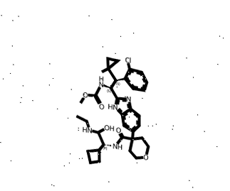 CCNC(O)[C@H](NC(=O)C1(c2ccc3nc([C@@H](NC(=O)OC)[C@H](c4ccccc4Cl)C4(C)CC4)[nH]c3c2)CCOCC1)C1CCC1